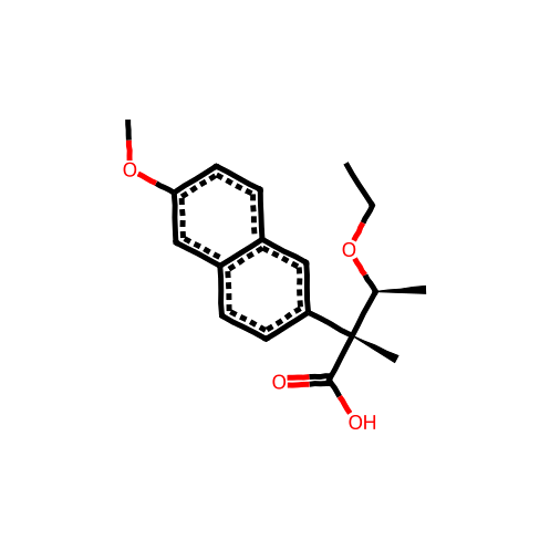 CCO[C@@H](C)[C@](C)(C(=O)O)c1ccc2cc(OC)ccc2c1